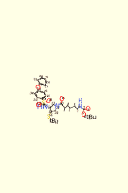 CC(C)(C)OC(=O)NCCCCCC(=O)N1CC(NS(=O)(=O)c2ccc(Oc3ccccc3)cc2)C(SC(C)(C)C)C1